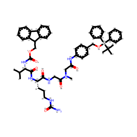 CC(C)[C@H](NC(=O)OCC1c2ccccc2-c2ccccc21)C(=O)N[C@@H](CCCNC(N)=O)C(=O)NCC(=O)N(C)CC(=O)Nc1ccc(CO[Si](c2ccccc2)(c2ccccc2)C(C)(C)C)cc1